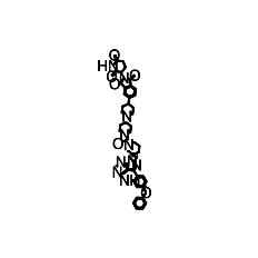 Nc1ncnc2c1c(-c1ccc(Oc3ccccc3)cc1)nn2[C@@H]1CCCN(C(=O)N2CCC(N3CCC(c4ccc5c(c4)C(=O)N(C4CCC(=O)NC4=O)C5=O)CC3)CC2)C1